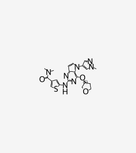 CN(C)C(=O)c1csc(Nc2nc(O[C@H]3CCOC3)c3c(ccn3-c3cnn(C)c3)n2)c1